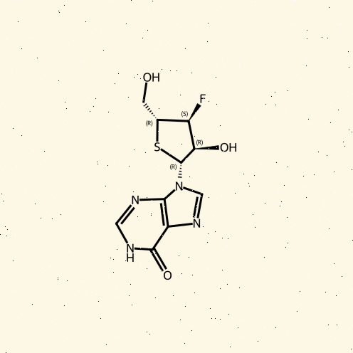 O=c1[nH]cnc2c1ncn2[C@@H]1S[C@H](CO)[C@@H](F)[C@H]1O